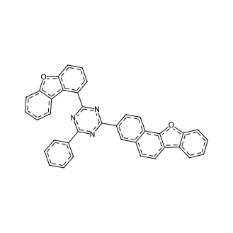 c1ccc(-c2nc(-c3ccc4c(ccc5c6ccccc6oc45)c3)nc(-c3cccc4oc5ccccc5c34)n2)cc1